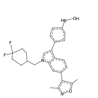 Cc1noc(C)c1-c1ccc2c(-c3ccc(BO)cc3)cn(CC3CCC(F)(F)CC3)c2c1